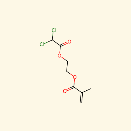 C=C(C)C(=O)OCCOC(=O)C(Cl)Cl